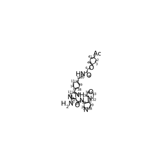 CC(=O)c1ccc(OCC(=O)NCCc2ccc(-c3cnc(N)c(C(=O)Nc4cnccc4N4CCOCC4)n3)cc2)cc1